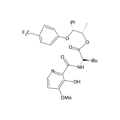 CC[C@H](C)[C@H](NC(=O)c1nccc(OC)c1O)C(=O)O[C@@H](C)[C@H](Oc1ccc(C(F)(F)F)cc1)C(C)C